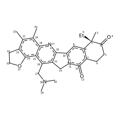 CC[C@@]1(C)C(=O)CCc2c1cc1n(c2=O)Cc2c-1nc1c(C)c(C)c3c(c1c2CN(C)C)OCC3